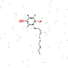 CCCCCCC(C)CCc1c(C)c(O)c(C)c(C)c1O